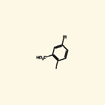 CCc1ccc(C)c(C(=O)O)c1